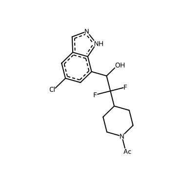 CC(=O)N1CCC(C(F)(F)C(O)c2cc(Cl)cc3cn[nH]c23)CC1